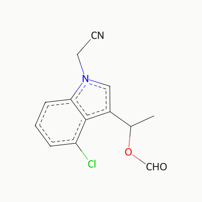 CC(OC=O)c1cn(CC#N)c2cccc(Cl)c12